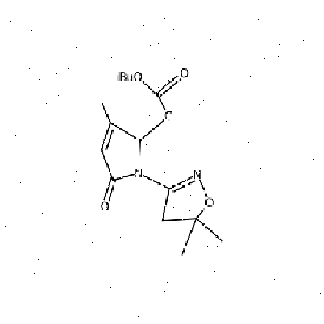 CC1=CC(=O)N(C2=NOC(C)(C)C2)C1OC(=O)OCC(C)C